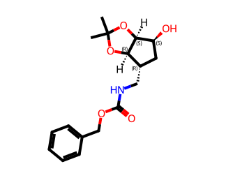 CC1(C)O[C@@H]2[C@@H](CNC(=O)OCc3ccccc3)C[C@H](O)[C@@H]2O1